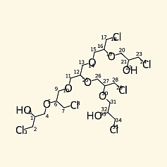 OC(CCl)COC(CCl)COCC(COCC(CCl)OCC(O)CCl)OCC(CCl)OCC(O)CCl